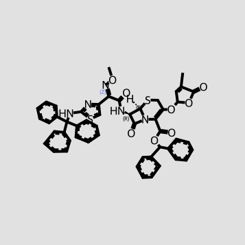 CO/N=C(\C(=O)N[C@@H]1C(=O)N2C(C(=O)OC(c3ccccc3)c3ccccc3)=C(OC3C=C(C)C(=O)O3)CS[C@H]12)c1csc(NC(c2ccccc2)(c2ccccc2)c2ccccc2)n1